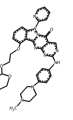 CN1CCN(c2ccc(Nc3ncc4c(=O)n5c(nc4n3)c3c(OCCOC4CCCCO4)cccc3n5-c3ccccn3)cc2)CC1